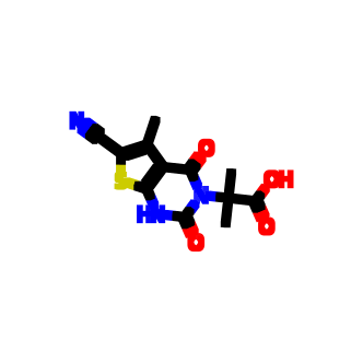 Cc1c(C#N)sc2[nH]c(=O)n(C(C)(C)C(=O)O)c(=O)c12